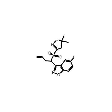 C=CCC(c1noc2ccc(F)cc12)S(=O)(=O)C1=NOC(C)(C)C1